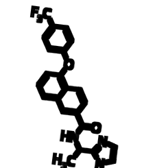 CC(NC(=O)c1ccc2c(Oc3ccc(C(F)(F)F)cc3)cccc2c1)c1ncc[nH]1